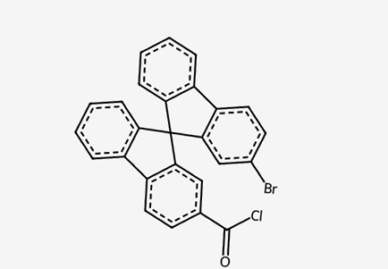 O=C(Cl)c1ccc2c(c1)C1(c3ccccc3-c3ccc(Br)cc31)c1ccccc1-2